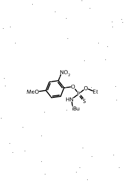 CCOP(=S)(NC(C)CC)Oc1ccc(OC)cc1[N+](=O)[O-]